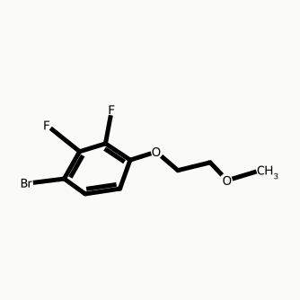 COCCOc1ccc(Br)c(F)c1F